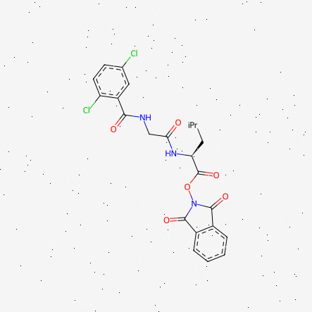 CC(C)C[C@H](NC(=O)CNC(=O)c1cc(Cl)ccc1Cl)C(=O)ON1C(=O)c2ccccc2C1=O